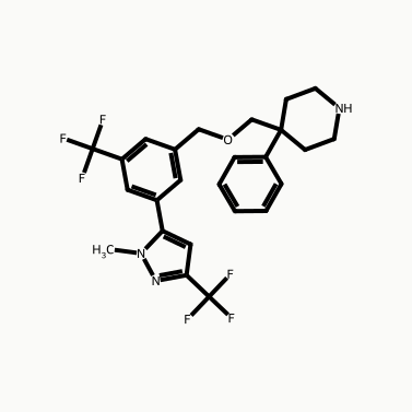 Cn1nc(C(F)(F)F)cc1-c1cc(COCC2(c3ccccc3)CCNCC2)cc(C(F)(F)F)c1